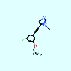 COCOc1cc(F)cc(C#Cc2cncn2C)c1